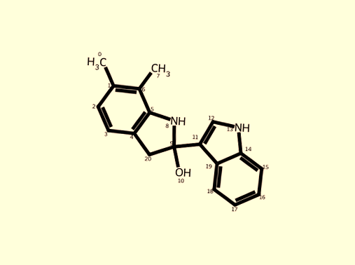 Cc1ccc2c(c1C)NC(O)(c1c[nH]c3ccccc13)C2